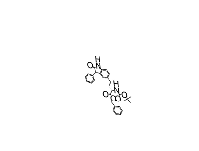 CC(C)(C)OC(=O)N[C@@H](CCc1ccc2c(c1)C(c1ccccc1)C(=O)N2)C(=O)OCc1ccccc1